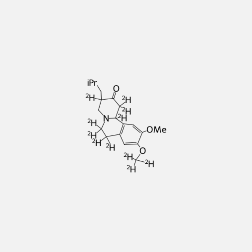 [2H]C([2H])([2H])Oc1cc2c(cc1OC)C1([2H])N(CC([2H])(CC(C)C)C(=O)C1([2H])[2H])C([2H])([2H])C2([2H])[2H]